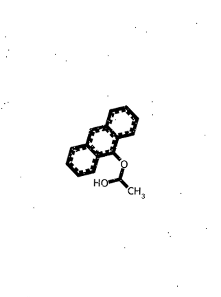 CC(O)Oc1c2ccccc2cc2ccccc12